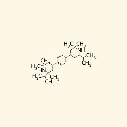 CC(C)C1CC(c2ccc(C3CC(C)(C)NC(C)(C(C)C)C3)cc2)CC(C)(C)N1